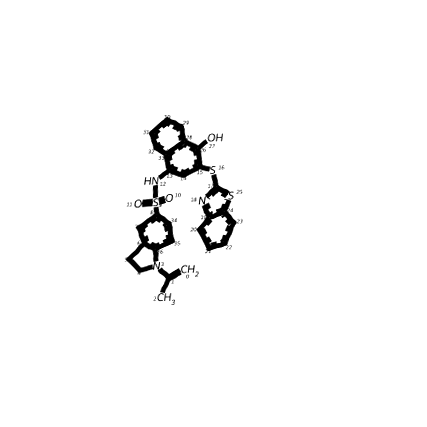 C=C(C)N1CCc2cc(S(=O)(=O)Nc3cc(Sc4nc5ccccc5s4)c(O)c4ccccc34)ccc21